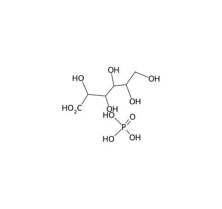 O=C(O)C(O)C(O)C(O)C(O)CO.O=P(O)(O)O